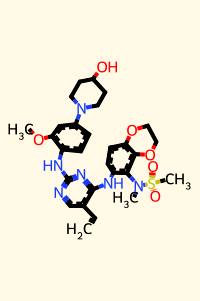 C=Cc1cnc(Nc2ccc(N3CCC(O)CC3)cc2OC)nc1Nc1ccc2c(c1N(C)S(C)(=O)=O)OCCO2